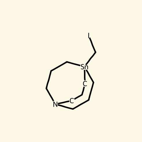 I[CH2][Sn]12[CH2]CCN(CC[CH2]1)CC[CH2]2